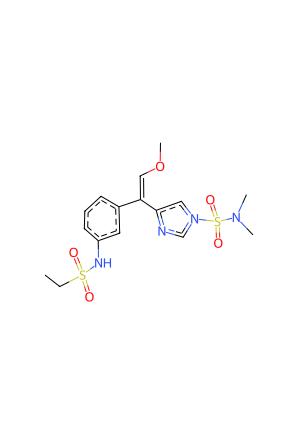 CCS(=O)(=O)Nc1cccc(/C(=C/OC)c2cn(S(=O)(=O)N(C)C)cn2)c1